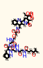 CC[C@@]1(O)C(=O)OCc2c1cc1n(c2=O)Cc2c-1nc1ccccc1c2/C=N/OC(=O)COCNC(=O)CNC(=O)[C@H](Cc1ccccc1)NC(=O)CNC(=O)CNC(=O)CCC(=O)C(C)C